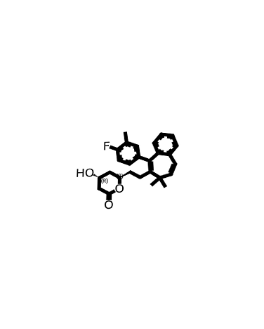 Cc1cc(C2=C(CC[C@@H]3C[C@@H](O)CC(=O)O3)C(C)(C)C=Cc3ccccc32)ccc1F